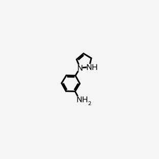 Nc1cccc(N2C=CCN2)c1